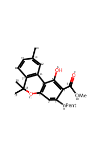 CCCCCc1cc2c(c(O)c1C(=O)OC)-c1cc(C)ccc1C(C)(C)O2